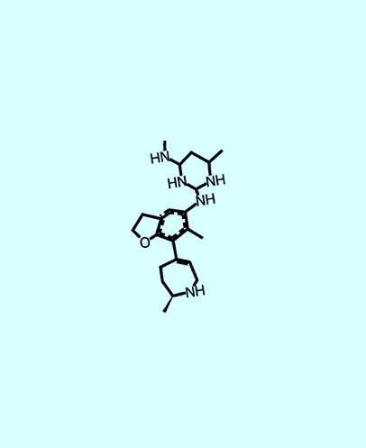 CNC1CC(C)NC(Nc2cc3c(c(C4=CCN[C@@H](C)CC4)c2C)OCC3)N1